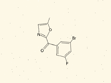 Cc1cnc(C(=O)c2cc(F)cc(Br)c2)o1